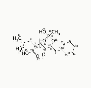 CC(C)C[C@H](NC(=O)[C@H](Cc1ccccc1)OP(C)(=O)O)C(=O)O